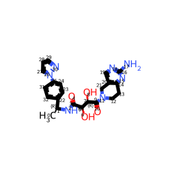 C[C@@H](NC(=O)[C@H](O)[C@@H](O)C(=O)N1CCc2nc(N)ncc2C1)c1ccc(-n2cccn2)cc1